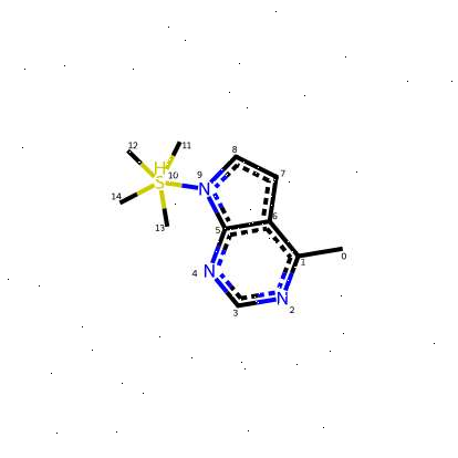 Cc1ncnc2c1ccn2[SH](C)(C)(C)C